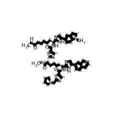 CNC(=O)CCCCC[C@H](NC(=O)c1cnc(CN2CCCC2)s1)c1ncc(-c2ccc3ccncc3c2)[nH]1.CNC(=O)CCCCC[C@H](NC(=O)c1cncs1)c1ncc(-c2ccc3c(ccn3C)c2)[nH]1